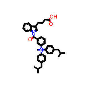 CC(C)Cc1ccc([N+](C)(c2ccc(CC(C)C)cc2)c2cccc(C(=O)n3cc(CCCC(=O)O)c4ccccc43)c2)cc1